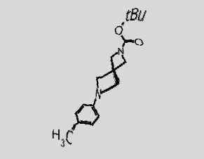 Cc1ccc(N2CC3(CN(C(=O)OC(C)(C)C)C3)C2)cc1